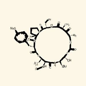 CC[C@H](C)[C@H]1NC(=O)[C@@H](NCl)[C@@H](C)OC(=O)[C@H](Cc2ccc(OC)cc2)N(C)[C@@H]2CCCN2C(=O)[C@H](CC(C)C)NC(=O)[C@@H](C)C(=O)[C@H](C(C)C)OC(=O)C[C@@H]1O